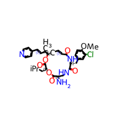 COc1ccc(C[C@H]2NC(=O)/C=C/C[C@@H]([C@H](C)/C=C/c3ccncc3)OC(=O)[C@H](CC(C)C)OC(=O)[C@H](N)CNC2=O)cc1Cl